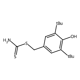 CC(C)(C)c1cc(CSC(N)=S)cc(C(C)(C)C)c1O